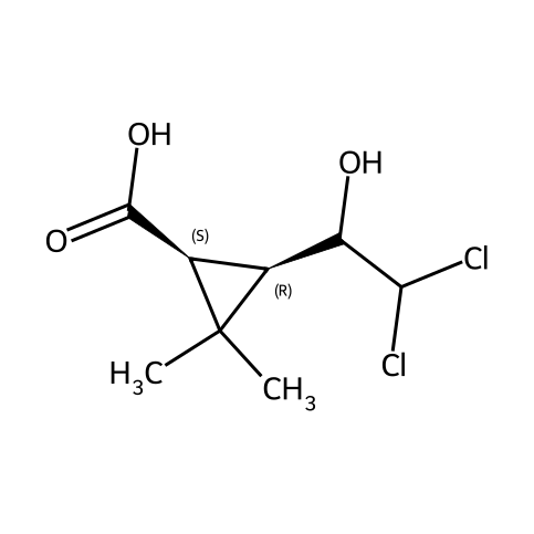 CC1(C)[C@H](C(O)C(Cl)Cl)[C@@H]1C(=O)O